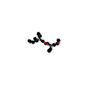 c1ccc2cc(-c3nc(-c4ccc(-c5ccc6oc7ccccc7c6c5)cc4)nc(-c4ccc5cc(-c6ccc(-c7nc(-c8ccc9ccccc9c8)nc(-c8ccc(-c9ccc%10oc%11ccccc%11c%10c9)c9ccccc89)n7)cc6)ccc5c4)n3)ccc2c1